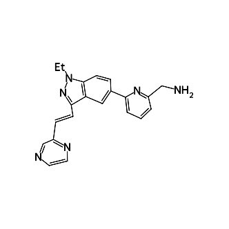 CCn1nc(/C=C/c2cnccn2)c2cc(-c3cccc(CN)n3)ccc21